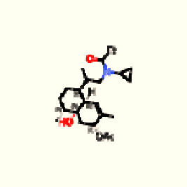 CCC(=O)N(CC(C)[C@@H]1CC[C@@H](C)[C@]2(O)[CH][C@@H](OC(C)=O)C(C)=C[C@H]12)C1CC1